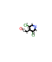 O=C=Cc1c(Cl)cncc1Cl